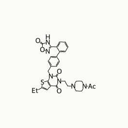 CCc1cc2c(=O)n(CCN3CCN(C(C)=O)CC3)c(=O)n(Cc3ccc(-c4ccccc4-c4noc(=O)[nH]4)cc3)c2s1